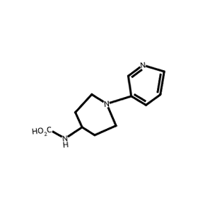 O=C(O)NC1CCN(c2cccnc2)CC1